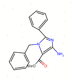 COC(=O)c1c(N)nc(-c2ccccc2)n1Cc1ccccc1